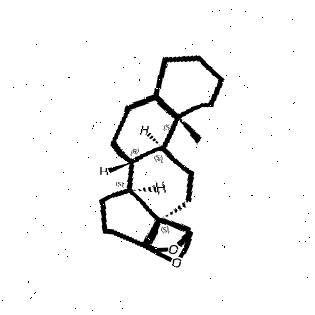 C[C@]12CCCCC1CC[C@@H]1[C@@H]2CC[C@]23C4OC2(CC[C@@H]13)O4